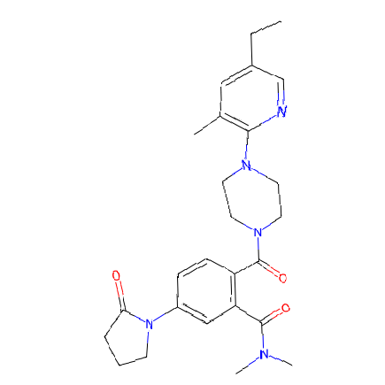 CCc1cnc(N2CCN(C(=O)c3ccc(N4CCCC4=O)cc3C(=O)N(C)C)CC2)c(C)c1